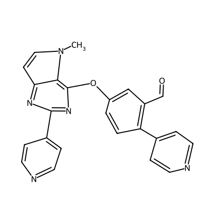 Cn1ccc2nc(-c3ccncc3)nc(Oc3ccc(-c4ccncc4)c(C=O)c3)c21